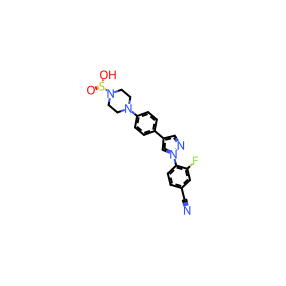 N#Cc1ccc(-n2cc(-c3ccc(N4CCN(S(=O)O)CC4)cc3)cn2)c(F)c1